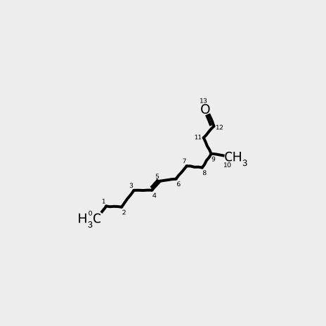 CCCCC=CCCCC(C)CC=O